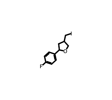 Fc1ccc(C2CC(CI)CO2)cc1